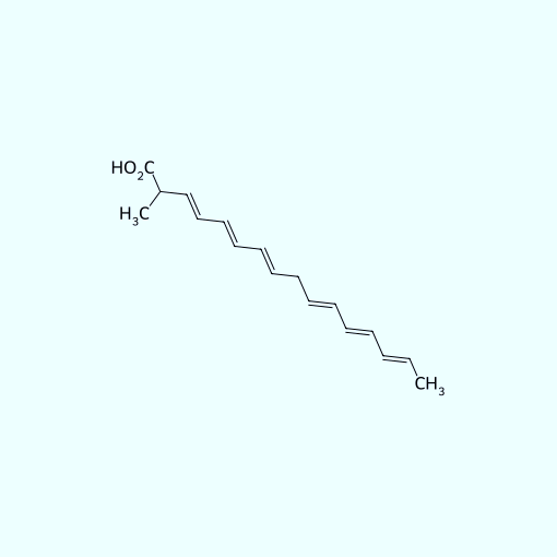 CC=CC=CC=CCC=CC=CC=CC(C)C(=O)O